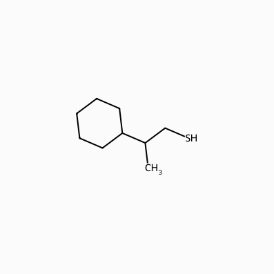 CC(CS)C1CCCCC1